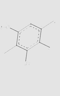 COc1cc(C)c(C)c(C(C)C)c1C